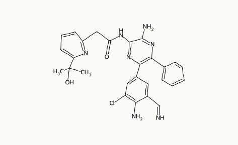 CC(C)(O)c1cccc(CC(=O)Nc2nc(-c3cc(Cl)c(N)c(C=N)c3)c(-c3ccccc3)nc2N)n1